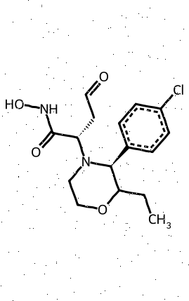 CCC1OCCN([C@@H](CC=O)C(=O)NO)[C@H]1c1ccc(Cl)cc1